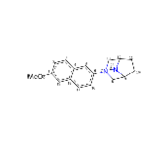 COc1ccc2cc(N3CC4CCC(C3)N4C)ccc2c1